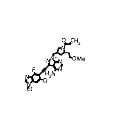 C=CC(=O)N1CC(/C=[N+]2/N=C(C#Cc3c(Cl)cc4c(ncn4CC)c3F)c3c(N)ncnc32)C[C@@H]1CCOC